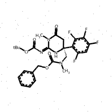 CN(C[C@@]1(c2c(F)cc(F)c(F)c2F)CC(=O)N(C)/C(=N\C(=O)OC(C)(C)C)N1)C(=O)OCc1ccccc1